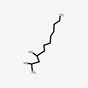 CCCCCCCCC(O)CC(C)O